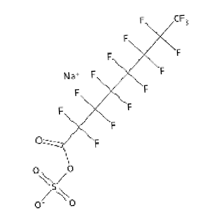 O=C(OS(=O)(=O)[O-])C(F)(F)C(F)(F)C(F)(F)C(F)(F)C(F)(F)C(F)(F)C(F)(F)F.[Na+]